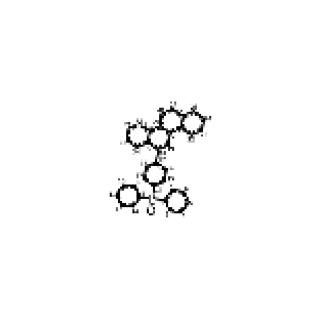 O=P(c1ccccc1)(c1ccccc1)c1ccc(-c2cc3c4ccccc4ccc3c3ncccc23)cc1